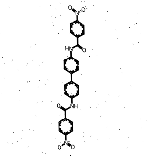 O=C(Nc1ccc(-c2ccc(NC(=O)c3ccc([N+](=O)[O-])cc3)cc2)cc1)c1ccc([N+](=O)[O-])cc1